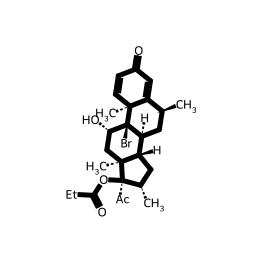 CCC(=O)O[C@]1(C(C)=O)[C@@H](C)C[C@H]2[C@@H]3C[C@H](C)C4=CC(=O)C=C[C@]4(C)[C@@]3(Br)[C@@H](O)C[C@@]21C